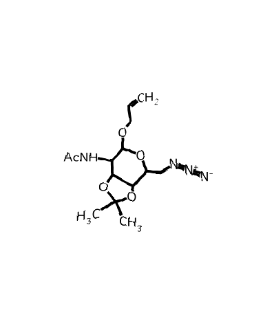 C=CCOC1OC(CN=[N+]=[N-])C2OC(C)(C)OC2C1NC(C)=O